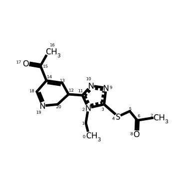 CCn1c(SCC(C)=O)nnc1C1C=C(C(C)=O)C=NC1